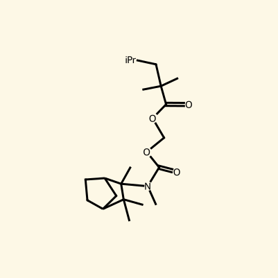 CC(C)CC(C)(C)C(=O)OCOC(=O)N(C)C1(C)C2CCC(C2)C1(C)C